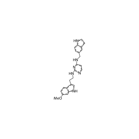 COc1ccc2c(CCNc3nccc(NCc4ccc5[nH]ccc5c4)n3)c[nH]c2c1